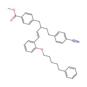 COC(=O)c1ccc(CC(/C=C/c2ccccc2OCCCCCc2ccccc2)CCc2ccc(C#N)cc2)cc1